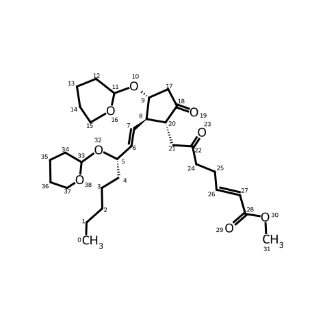 CCCCC[C@@H](/C=C/[C@H]1[C@H](OC2CCCCO2)CC(=O)[C@@H]1CC(=O)CC/C=C/C(=O)OC)OC1CCCCO1